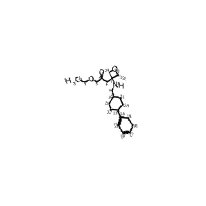 CCOCC(=O)CC1(NCC2CCC(C3=CC=CCC3)CC2)COC1